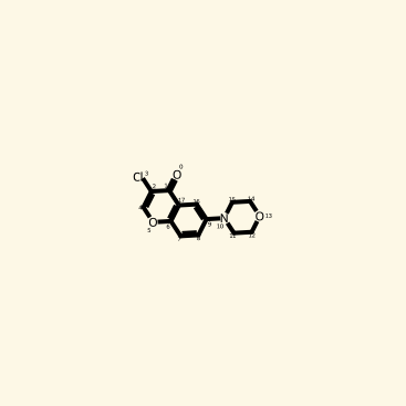 O=c1c(Cl)coc2ccc(N3CCOCC3)cc12